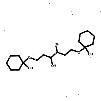 OC(CCOC1(O)CCCCC1)C(O)CCOC1(O)CCCCC1